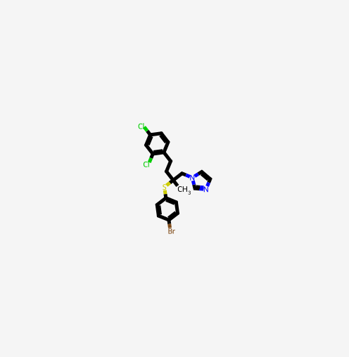 CC(CCc1ccc(Cl)cc1Cl)(Cn1ccnc1)Sc1ccc(Br)cc1